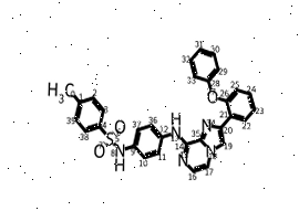 Cc1ccc(S(=O)(=O)Nc2ccc(Nc3nccn4cc(-c5ccccc5Oc5ccccc5)nc34)cc2)cc1